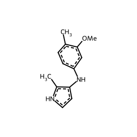 COc1cc(Nc2cc[nH]c2C)ccc1C